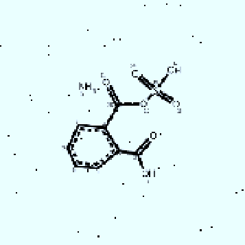 N.O=C(O)c1ccccc1C(=O)OS(=O)(=O)O